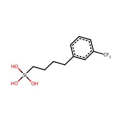 O[Si](O)(O)CCCCc1cccc(C(F)(F)F)c1